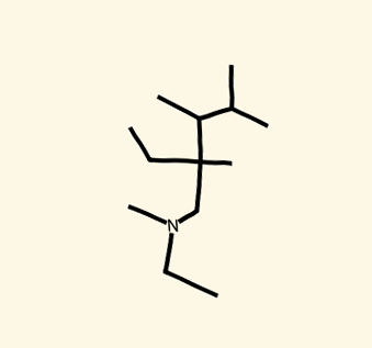 CCN(C)CC(C)(CC)C(C)C(C)C